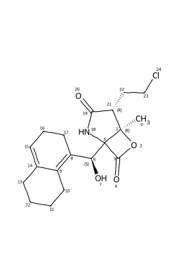 C[C@]12OC(=O)C1([C@@H](O)C1=C3CCCCC3=CCC1)NC(=O)[C@@H]2CCCl